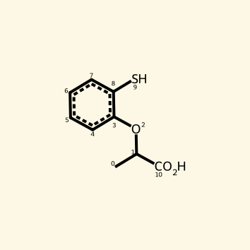 CC(Oc1ccccc1S)C(=O)O